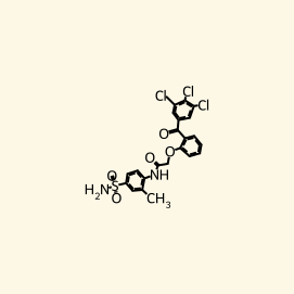 Cc1cc(S(N)(=O)=O)ccc1NC(=O)COc1ccccc1C(=O)c1cc(Cl)c(Cl)c(Cl)c1